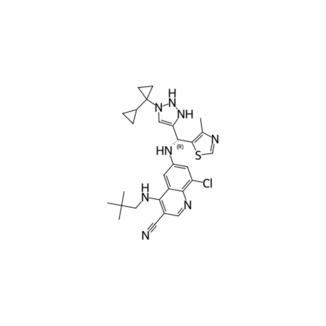 Cc1ncsc1[C@H](Nc1cc(Cl)c2ncc(C#N)c(NCC(C)(C)C)c2c1)C1=CN(C2(C3CC3)CC2)NN1